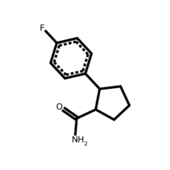 NC(=O)C1CCCC1c1ccc(F)cc1